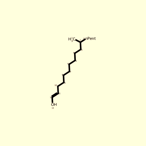 CCCCCC(C)CCCCCCCC/C=C/O